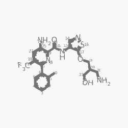 Cc1ccccc1-c1nc(C(=O)Nc2cnsc2OCC(CN)CO)c(N)cc1C(F)(F)F